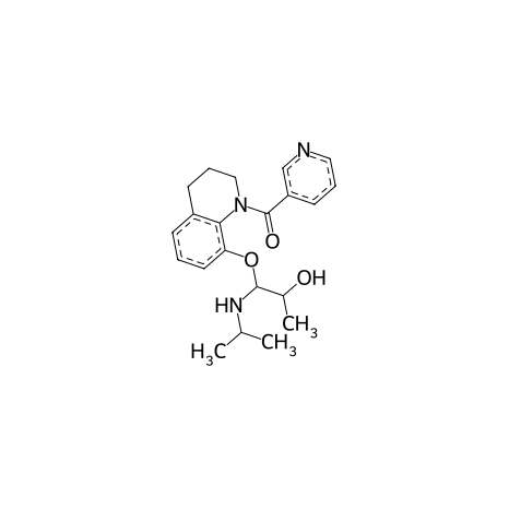 CC(C)NC(Oc1cccc2c1N(C(=O)c1cccnc1)CCC2)C(C)O